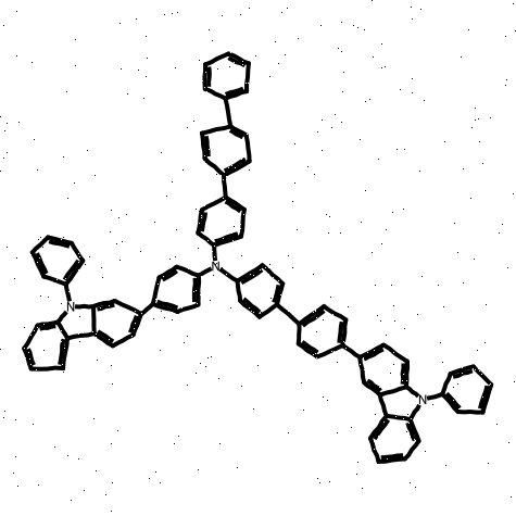 c1ccc(-c2ccc(-c3ccc(N(c4ccc(-c5ccc(-c6ccc7c(c6)c6ccccc6n7-c6ccccc6)cc5)cc4)c4ccc(-c5ccc6c7ccccc7n(-c7ccccc7)c6c5)cc4)cc3)cc2)cc1